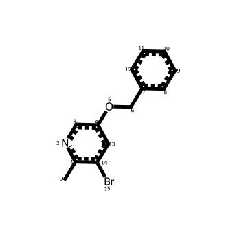 Cc1ncc(OCc2ccccc2)cc1Br